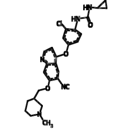 [C-]#[N+]c1cc2c(Oc3ccc(NC(=O)NC4CC4)c(Cl)c3)ccnc2cc1OCC1CCCN(C)C1